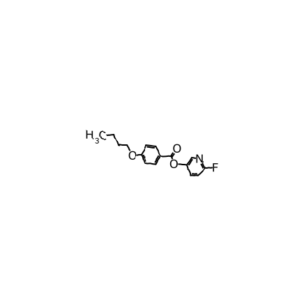 CCCCOc1ccc(C(=O)Oc2ccc(F)nc2)cc1